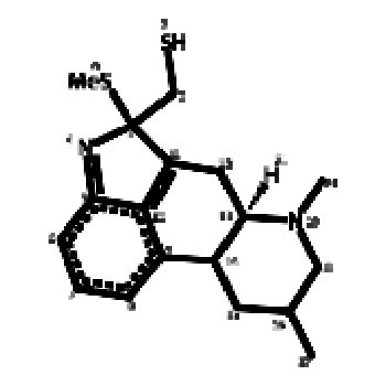 CSC1(CS)N=c2cccc3c2=C1C[C@@H]1C3CC(C)CN1C